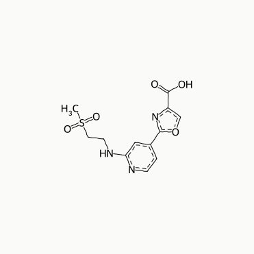 CS(=O)(=O)CCNc1cc(-c2nc(C(=O)O)co2)ccn1